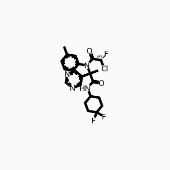 Cc1cccc(N(C(=O)[C@H](F)Cl)C(C)(C(=O)NC2CCC(F)(F)CC2)c2cncnc2)c1